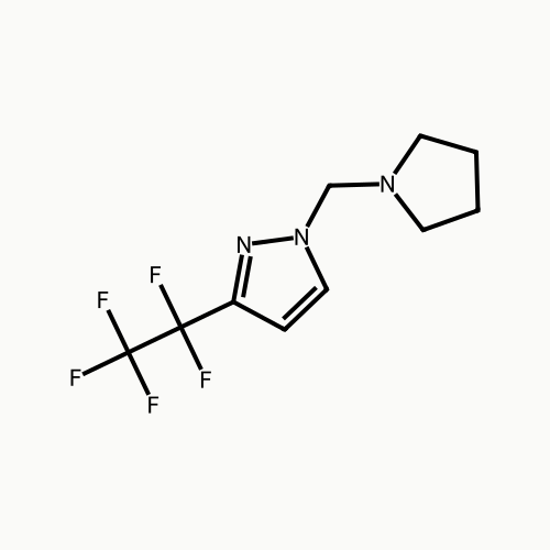 FC(F)(F)C(F)(F)c1ccn(CN2CCCC2)n1